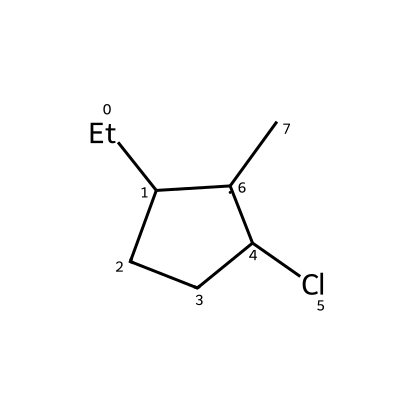 CCC1CCC(Cl)[C]1C